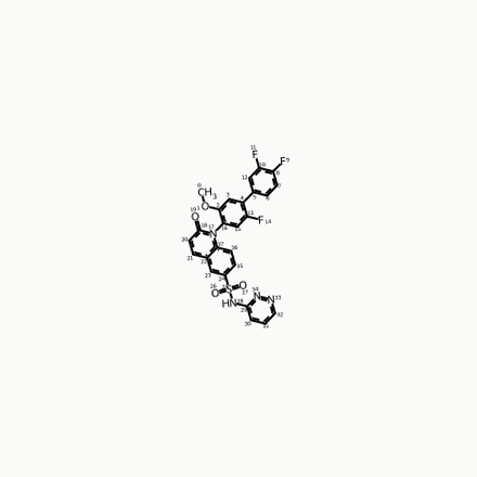 COc1cc(-c2ccc(F)c(F)c2)c(F)cc1-n1c(=O)ccc2cc(S(=O)(=O)Nc3cccnn3)ccc21